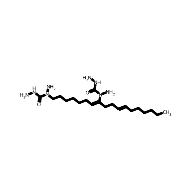 CCCCCCC=CCCC(=CCCCCCCN(N)C(=O)NN)N(N)C(=O)NN